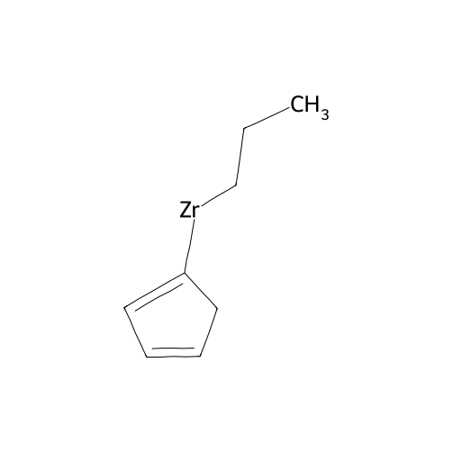 CC[CH2][Zr][C]1=CC=CC1